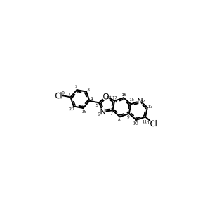 Clc1ccc(-c2nc3cc4cc(Cl)cnc4cc3o2)cc1